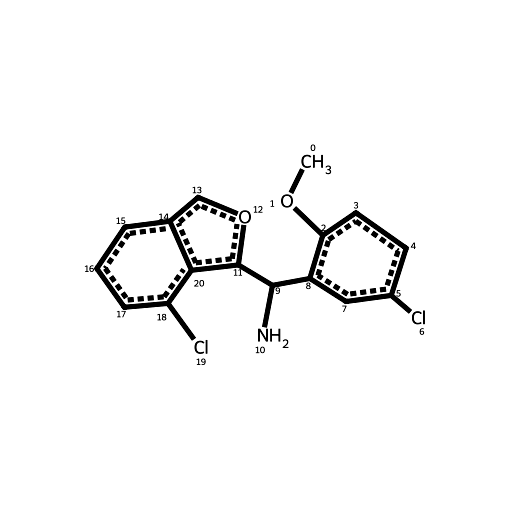 COc1ccc(Cl)cc1C(N)c1occ2cccc(Cl)c12